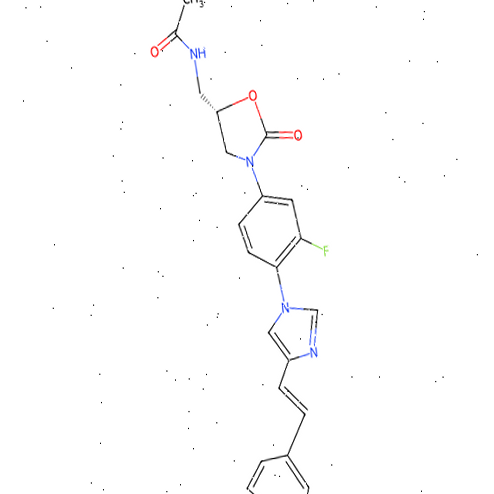 CC(=O)NC[C@H]1CN(c2ccc(-n3cnc(/C=C/c4ccncc4)c3)c(F)c2)C(=O)O1